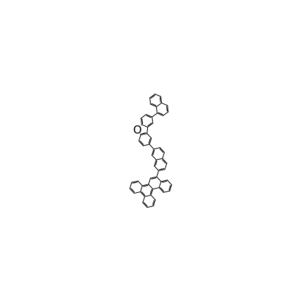 c1ccc2c(-c3ccc4oc5ccc(-c6ccc7ccc(-c8cc9c%10ccccc%10c%10ccccc%10c9c9ccccc89)cc7c6)cc5c4c3)cccc2c1